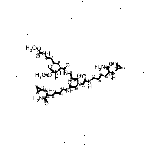 COC(=O)NCCCC[C@H](NC(=O)OC)C(=O)NCCC(=O)N(CC(=O)NCCCCC(NC1CC1)C(N)=O)CC(=O)NCCCCC(NC1CC1)C(N)=O